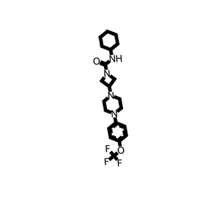 O=C(NC1CCCCC1)N1CC(N2CCN(c3ccc(OC(F)(F)F)cc3)CC2)C1